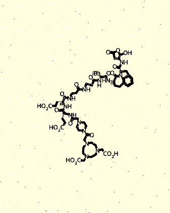 CC[C@H](C)[C@H](NC(=O)CCNC(=O)CCNC(=O)[C@@H](CCC(=O)O)NC(=O)[C@@H](CCC(=O)O)NC(=O)CN1CCN(C(=O)CN2CCN(CC(=O)O)CCN(CC(=O)O)CC2)CC1)C(=O)N[C@H]1CCc2cccc3c2N(C1=O)[C@H](C(=O)NC1CC(=O)OC1O)C3